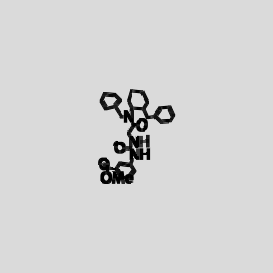 COC(=O)c1cccc(NC(=O)NCC(=O)N(Cc2ccccc2)C2CCCCC2Cc2ccccc2)c1